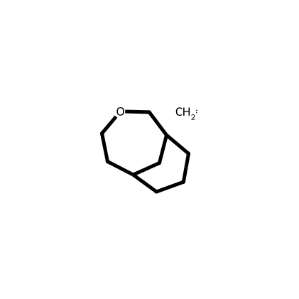 C1CC2CCOCC(C1)C2.[CH2]